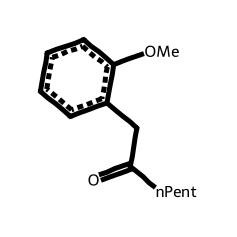 CCCCCC(=O)Cc1ccccc1OC